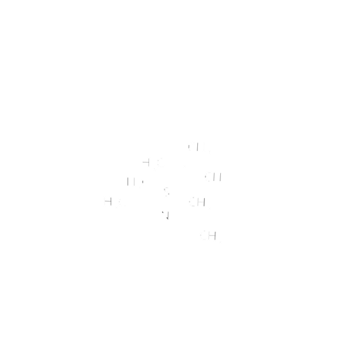 CCN(CC)[Si](C)(C)C(C)(C)C